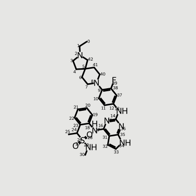 CCN1CCC2(CCN(c3ccc(Nc4nc(Nc5ccccc5C(C)S(=O)(=O)NC)c5cc[nH]c5n4)cc3F)CC2)C1